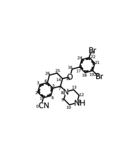 N#Cc1ccc2c(c1)C(N1CCNCC1)C(OCc1cc(Br)cc(Br)c1)CC2